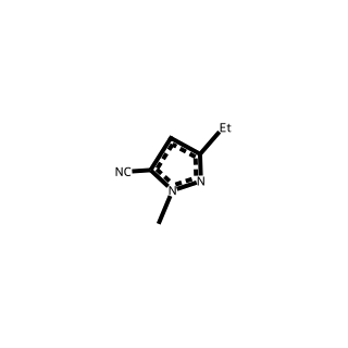 CCc1cc(C#N)n(C)n1